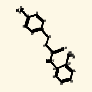 Nc1ccc(CCC(=O)Nc2ccccc2N)cc1